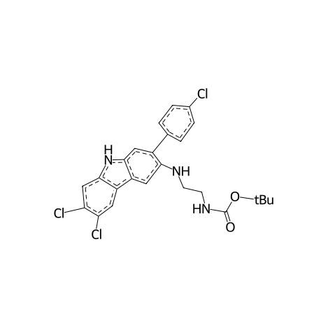 CC(C)(C)OC(=O)NCCNc1cc2c(cc1-c1ccc(Cl)cc1)[nH]c1cc(Cl)c(Cl)cc12